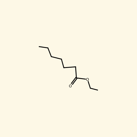 CCCCCCC(=O)OCC